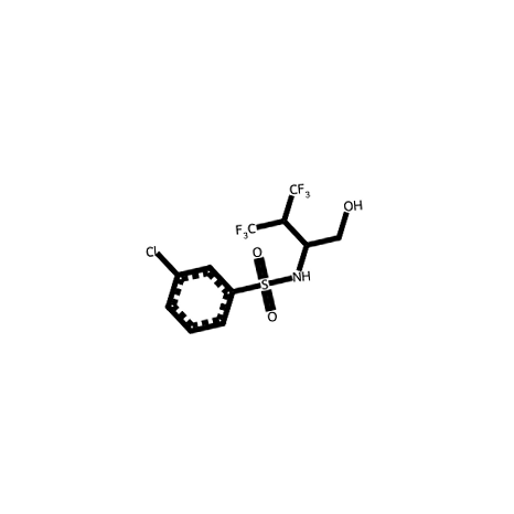 O=S(=O)(NC(CO)C(C(F)(F)F)C(F)(F)F)c1cccc(Cl)c1